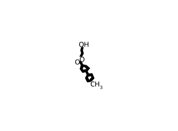 Cc1ccc(-c2ccc(C(=O)OCCCCO)cc2)cc1